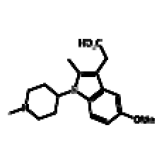 COc1ccc2c(c1)c(CC(=O)O)c(C)n2C1CCN(C)CC1